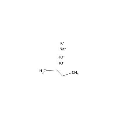 CCCC.[K+].[Na+].[OH-].[OH-]